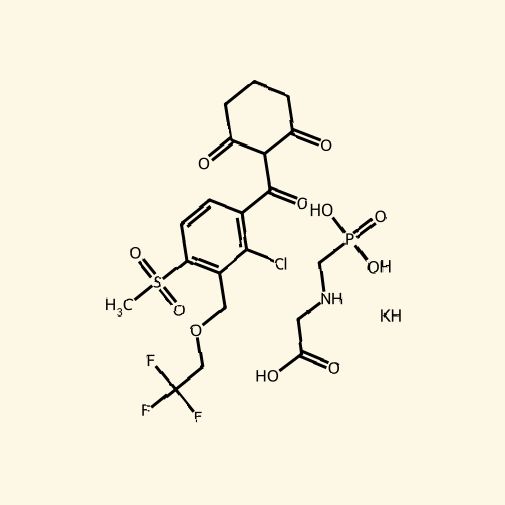 CS(=O)(=O)c1ccc(C(=O)C2C(=O)CCCC2=O)c(Cl)c1COCC(F)(F)F.O=C(O)CNCP(=O)(O)O.[KH]